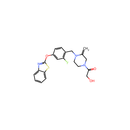 C=C1CN(C(=O)CO)CCN1Cc1ccc(Oc2nc3ccccc3s2)cc1F